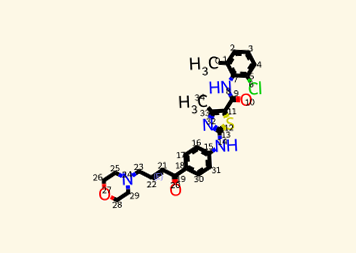 Cc1cccc(Cl)c1NC(=O)c1sc(Nc2ccc(C(=O)/C=C/CN3CCOCC3)cc2)nc1C